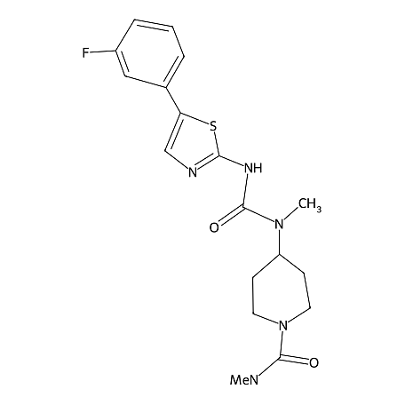 CNC(=O)N1CCC(N(C)C(=O)Nc2ncc(-c3cccc(F)c3)s2)CC1